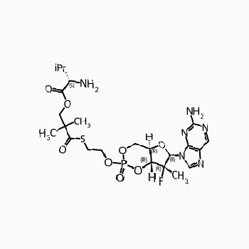 CC(C)[C@H](N)C(=O)OCC(C)(C)C(=O)SCCOP1(=O)OC[C@H]2O[C@@H](n3cnc4cnc(N)nc43)[C@](C)(F)[C@@H]2O1